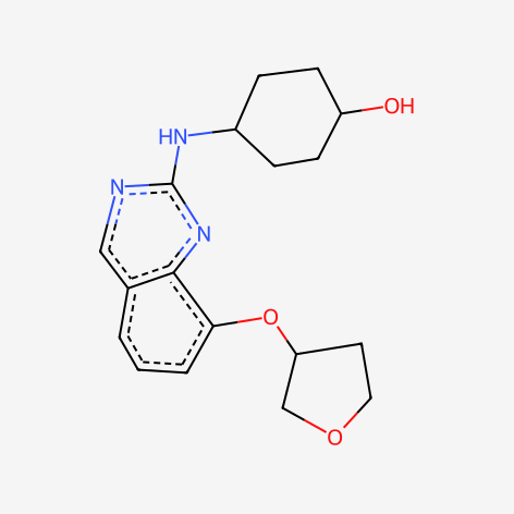 OC1CCC(Nc2ncc3cccc(OC4CCOC4)c3n2)CC1